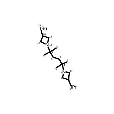 CC(C)C1CN(C(C)(C)CCC(C)(C)N2CC(C(C)(C)C)C2)C1